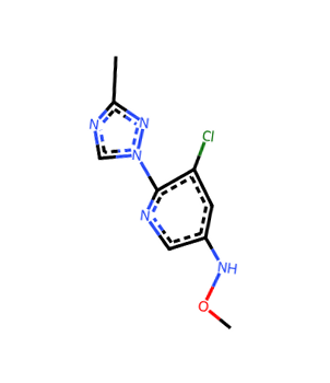 CONc1cnc(-n2cnc(C)n2)c(Cl)c1